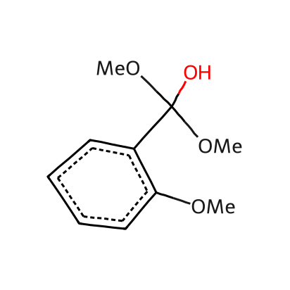 COc1ccccc1C(O)(OC)OC